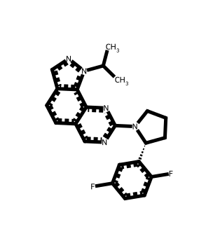 CC(C)n1ncc2ccc3cnc(N4CCC[C@@H]4c4cc(F)ccc4F)nc3c21